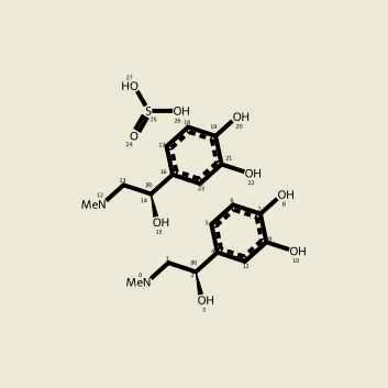 CNC[C@H](O)c1ccc(O)c(O)c1.CNC[C@H](O)c1ccc(O)c(O)c1.O=S(O)O